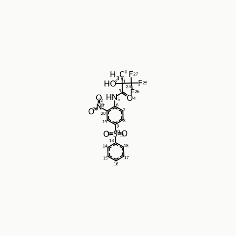 C[C@](O)(C(=O)Nc1ccc(S(=O)(=O)c2ccccc2)cc1[N+](=O)[O-])C(F)(F)F